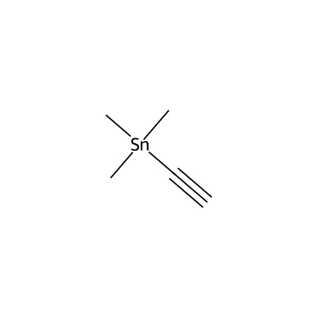 C#[C][Sn]([CH3])([CH3])[CH3]